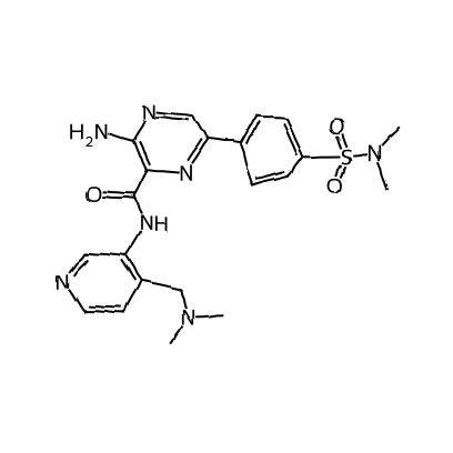 CN(C)Cc1ccncc1NC(=O)c1nc(-c2ccc(S(=O)(=O)N(C)C)cc2)cnc1N